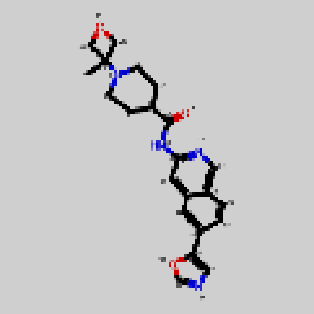 CC1(N2CCC(C(=O)Nc3cc4cc(-c5cnco5)ccc4cn3)CC2)COC1